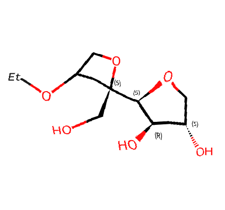 CCOC1CO[C@]1(CO)[C@H]1OC[C@H](O)[C@H]1O